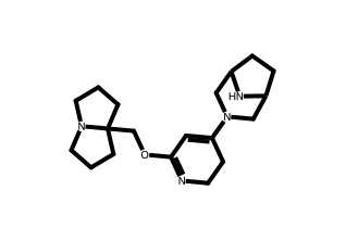 C1=C(N2CC3CCC(C2)N3)CCN=C1OCC12CCCN1CCC2